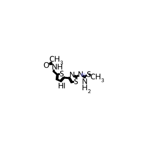 CS/C(N)=N/c1nc(-c2ccc(CNC(C)=O)s2)cs1.I